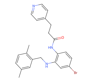 Cc1ccc(C)c(CNc2cc(Br)ccc2NC(=O)CCc2ccncc2)c1